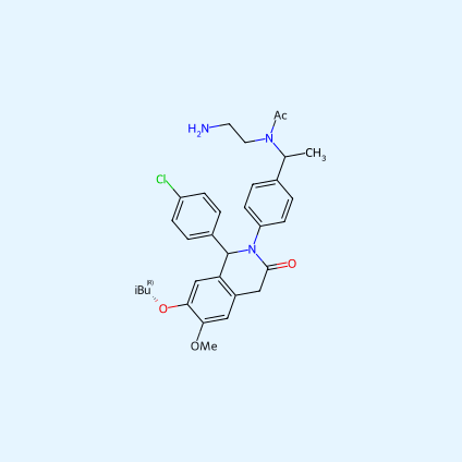 CC[C@@H](C)Oc1cc2c(cc1OC)CC(=O)N(c1ccc(C(C)N(CCN)C(C)=O)cc1)C2c1ccc(Cl)cc1